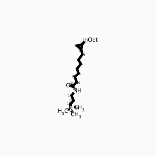 CCCCCCCCC1CC1CCCCCCCC(=O)NCCC[N+](C)(C)C